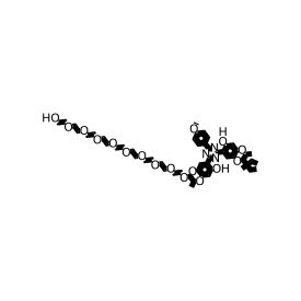 CCC(C)(CC)C(=O)C(C)Oc1ccc(-c2nc(-c3ccc(OC)cc3)nc(-c3ccc(OC(C)C(=O)OCCOCCOCCOCCOCCOCCOCCOCCOCCO)cc3O)n2)c(O)c1